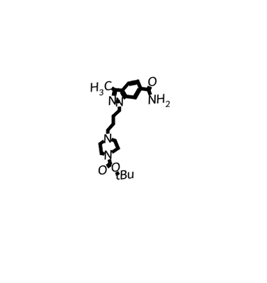 Cc1nn(CCCCN2CCN(C(=O)OC(C)(C)C)CC2)c2cc(C(N)=O)ccc12